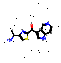 CC(N)c1csc(C(=O)c2c[nH]c3ccncc23)n1